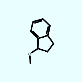 COC1CCc2c[c]ccc21